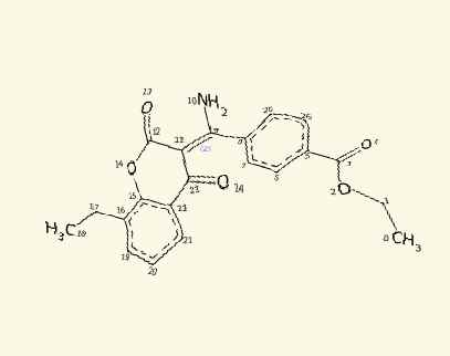 CCOC(=O)c1ccc(/C(N)=C2/C(=O)Oc3c(CC)cccc3C2=O)cc1